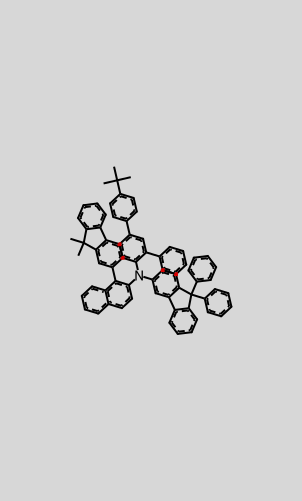 CC(C)(C)c1ccc(-c2ccc(N(c3ccc4c(c3)-c3ccccc3C4(c3ccccc3)c3ccccc3)c3ccc4ccccc4c3-c3ccc4c(c3)C(C)(C)c3ccccc3-4)c(-c3ccccc3)c2)cc1